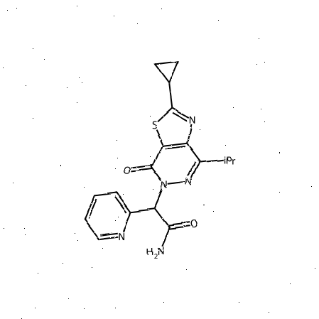 CC(C)c1nn(C(C(N)=O)c2ccccn2)c(=O)c2sc(C3CC3)nc12